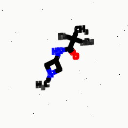 CCCCC(C)(CC)C(=O)NC1CN(C)C1